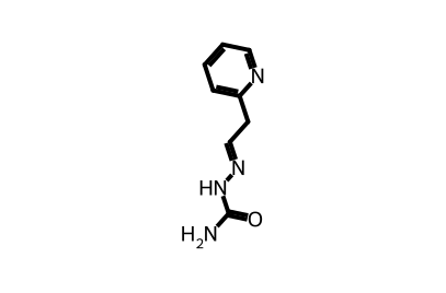 NC(=O)NN=CCc1ccccn1